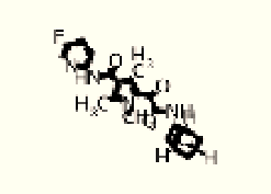 Cc1c(C(=O)Nc2ccc(F)cn2)c(C)n(C)c1C(=O)C(=O)N[C@]12C[C@@H]3C[C@@H](C[C@H]1C3)C2